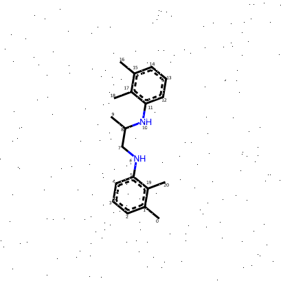 Cc1cccc(NCC(C)Nc2cccc(C)c2C)c1C